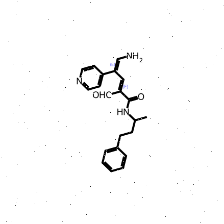 CC(CCc1ccccc1)NC(=O)/C(C=O)=C/C(=C\N)c1ccncc1